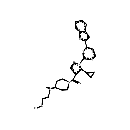 CCOCCN(C)C1CCN(C(=O)c2cnn(-c3nccc(-c4cc5ccccc5o4)n3)c2C2CC2)CC1